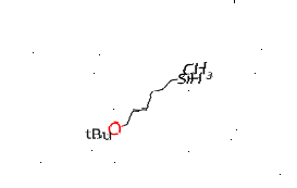 C[SiH]CCCCCCOC(C)(C)C